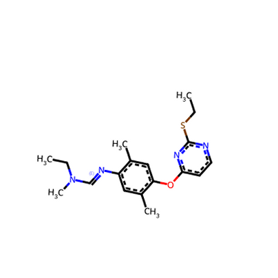 CCSc1nccc(Oc2cc(C)c(/N=C/N(C)CC)cc2C)n1